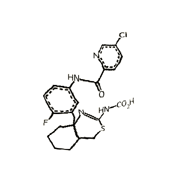 O=C(O)NC1=NC2(c3cc(NC(=O)c4ccc(Cl)cn4)ccc3F)CCCCC2CS1